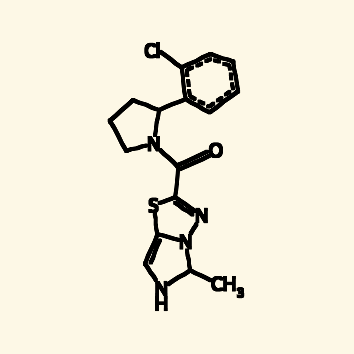 CC1NC=C2SC(C(=O)N3CCCC3c3ccccc3Cl)=NN21